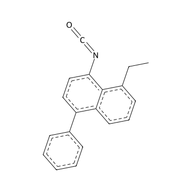 CCc1cccc2c(-c3ccccc3)ccc(N=C=O)c12